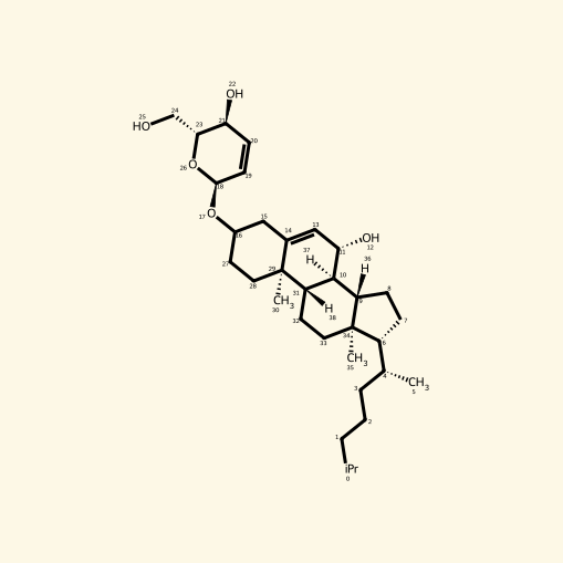 CC(C)CCC[C@@H](C)[C@H]1CC[C@H]2[C@@H]3[C@@H](O)C=C4CC(O[C@@H]5C=C[C@H](O)[C@@H](CO)O5)CC[C@]4(C)[C@H]3CC[C@]12C